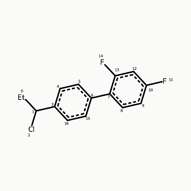 CCC(Cl)c1ccc(-c2ccc(F)cc2F)cc1